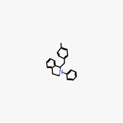 Cc1ccc(CC2c3ccccc3CCN2c2ccccc2)cc1